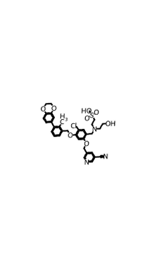 Cc1c(COc2cc(OCc3cncc(C#N)c3)c(CN(CCO)CCS(=O)(=O)O)cc2Cl)cccc1-c1ccc2c(c1)OCCO2